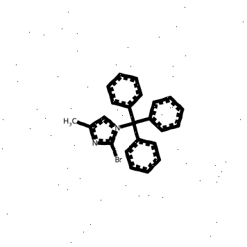 Cc1cn(C(c2ccccc2)(c2ccccc2)c2ccccc2)c(Br)n1